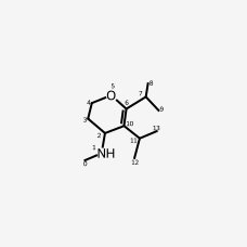 CNC1CCOC(C(C)C)=C1C(C)C